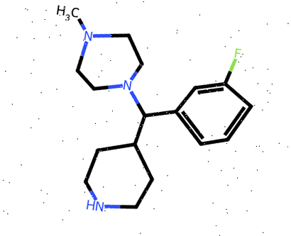 CN1CCN(C(c2cccc(F)c2)C2CCNCC2)CC1